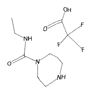 CCNC(=O)N1CCNCC1.O=C(O)C(F)(F)F